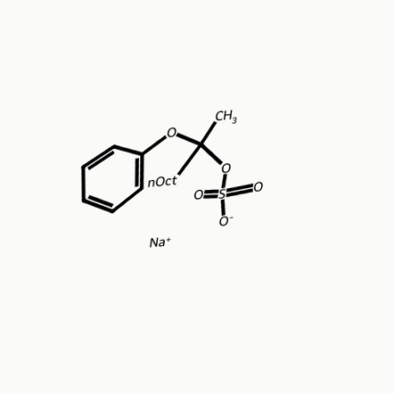 CCCCCCCCC(C)(Oc1ccccc1)OS(=O)(=O)[O-].[Na+]